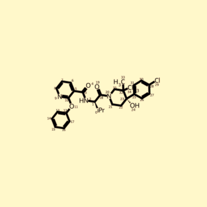 CC(C)[C@@H](NC(=O)c1cccnc1Oc1ccccc1)C(=O)N1CC[C@](O)(c2ccc(Cl)cc2)C(C)(C)C1